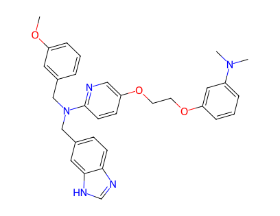 COc1cccc(CN(Cc2ccc3nc[nH]c3c2)c2ccc(OCCOc3cccc(N(C)C)c3)cn2)c1